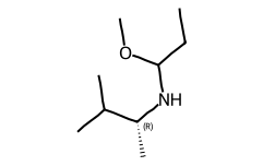 CCC(N[C@H](C)C(C)C)OC